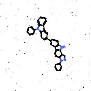 c1ccc(-n2ncc3c4[nH]c5ccc(-c6ccc7c(c6)c6ccccc6n7-c6ccccc6)cc5c4ccc32)cc1